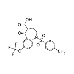 Cc1ccc(S(=O)(=O)N2CCC(C(=O)O)C(=O)c3cc(OC(F)(F)F)ccc32)cc1